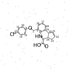 O=C(O)C1Nc2c(COc3ccc(Cl)cc3)cccc2C2C=CCC12